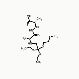 CCOC(CN[C@@H](C)C(=O)NN[C@@H](C)C(=O)O)(OCC)OCCOC